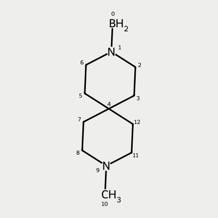 BN1CCC2(CC1)CCN(C)CC2